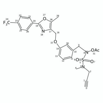 C#CCN(C)S(=O)(=O)N(Cc1cccc(OCc2nc(-c3ccc(C(F)(F)F)cc3)oc2C)c1)OC(C)=O